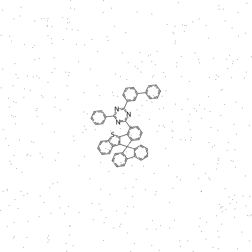 c1ccc(-c2cccc(-c3nc(-c4ccccc4)nc(-c4cccc5c4-c4sc6ccccc6c4C54c5ccccc5-c5ccccc54)n3)c2)cc1